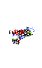 CCN(C)C(=O)CN1c2nc(OC[C@@]34CCCN3C[C@H](F)C4)nc3c(F)c(-c4ccc(F)c5sc(N)c(C#N)c45)c(Cl)c(c23)OC[C@@H]1C